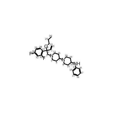 C=CC(CN1CCC(N2CCC(Nc3ccccc3)CC2)CC1)(OCCC)c1ccc(F)cc1F